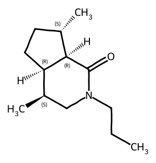 CCCN1C[C@@H](C)[C@H]2CC[C@H](C)[C@H]2C1=O